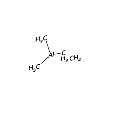 C.[CH3][Al]([CH3])[CH3]